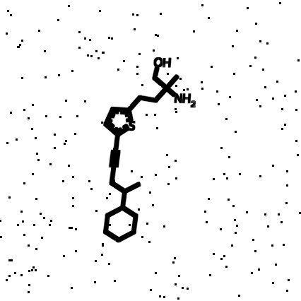 CC(CC#Cc1ccc(CCC(C)(N)CO)s1)C1CCCCC1